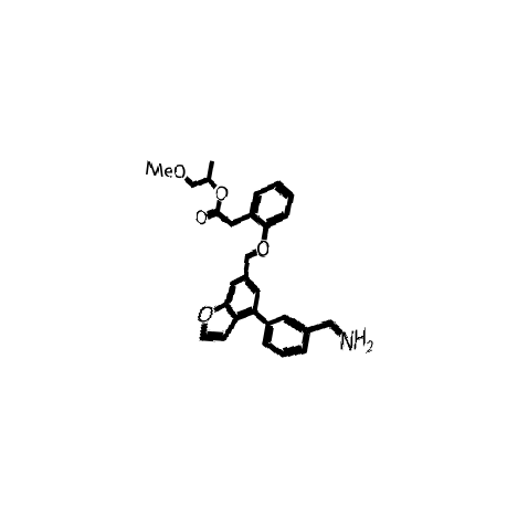 COCC(C)OC(=O)Cc1ccccc1OCc1cc(-c2cccc(CN)c2)c2ccoc2c1